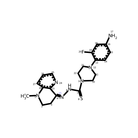 CN1CC/C(=N/NC(=S)N2CCN(c3ccc(N)cc3F)CC2)c2ncccc21